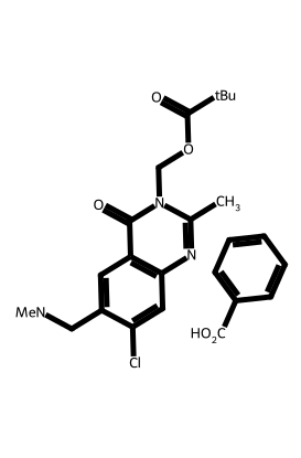 CNCc1cc2c(=O)n(COC(=O)C(C)(C)C)c(C)nc2cc1Cl.O=C(O)c1ccccc1